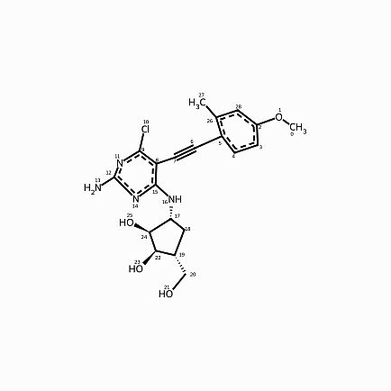 COc1ccc(C#Cc2c(Cl)nc(N)nc2N[C@@H]2C[C@H](CO)[C@@H](O)[C@H]2O)c(C)c1